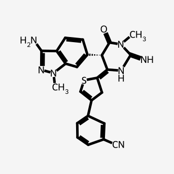 CN1C(=N)N/C(=C2\CC(c3cccc(C#N)c3)=CS2)[C@H](c2ccc3c(N)nn(C)c3c2)C1=O